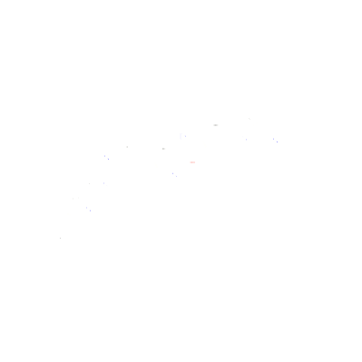 CC[C@H]1CN(C2COC2)CCN1c1ccc(Nc2cc(-c3ccnc(N4CCn5c(cc6c5CC(C)(C)C6)C4=O)c3CO)cn(C)c2=O)cc1